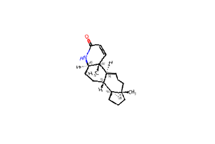 C[C@@]12CCC[C@H]1[C@@H]1CC[C@H]3NC(=O)C=C[C@]3(C)[C@H]1CC2